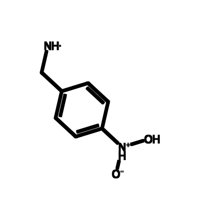 [NH]Cc1ccc([NH+]([O-])O)cc1